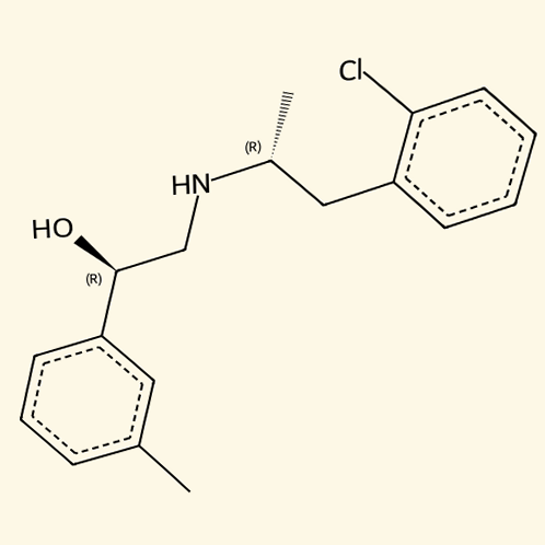 Cc1cccc([C@@H](O)CN[C@H](C)Cc2ccccc2Cl)c1